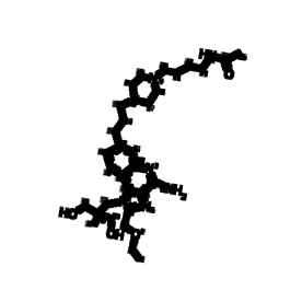 CCOCc1nc2c(N)nc3cc(CCCN4CCN(CCCCNC(C)=O)CC4)ccc3c2n1CC(C)(CO)CO